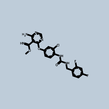 COC(=N)c1c(N)ncnc1Oc1ccc(NC(=O)NCc2ccc(F)cc2F)c(Cl)c1